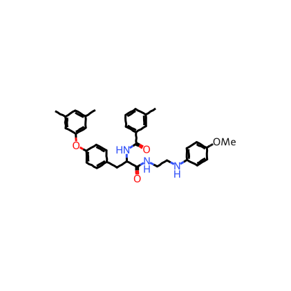 COc1ccc(NCCNC(=O)C(Cc2ccc(Oc3cc(C)cc(C)c3)cc2)NC(=O)c2cccc(C)c2)cc1